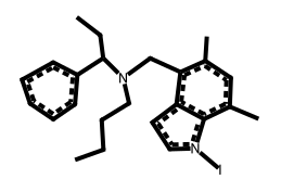 CCCCN(Cc1c(C)cc(C)c2c1ccn2I)C(CC)c1ccccc1